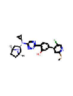 CSc1cc(-c2ccc(-c3ncc(N(C4CC4)[C@@H]4C[C@H]5CC[C@@H](C4)N5)nn3)c(O)c2)c(F)cn1